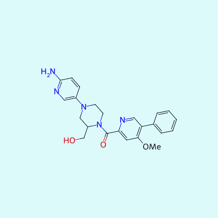 COc1cc(C(=O)N2CCN(c3ccc(N)nc3)CC2CO)ncc1-c1ccccc1